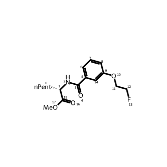 CCCCC[C@H](NC(=O)c1cccc(OCCF)c1)C(=O)OC